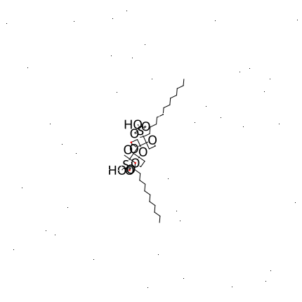 CCCCCCCCCCCCC(C)(C1(C2(OC3(C4(C(C)(CCCCCCCCCCCC)S(=O)(=O)O)CCO4)CCO3)CCO2)CCO1)S(=O)(=O)O